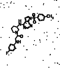 Cc1ccc(S(=O)(=O)n2ccc3c(NC4CCCN(C(=O)CNc5ccc(F)cc5)C4)ncnc32)cc1